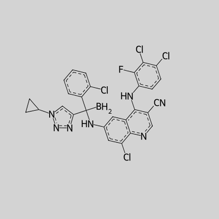 BC(Nc1cc(Cl)c2ncc(C#N)c(Nc3ccc(Cl)c(Cl)c3F)c2c1)(c1cn(C2CC2)nn1)c1ccccc1Cl